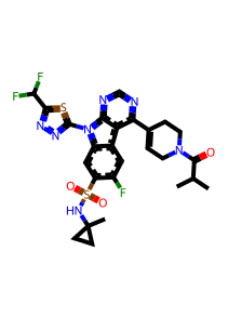 CC(C)C(=O)N1CC=C(c2ncnc3c2c2cc(F)c(S(=O)(=O)NC4(C)CC4)cc2n3-c2nnc(C(F)F)s2)CC1